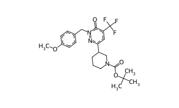 COc1ccc(Cn2nc(C3CCCN(C(=O)OC(C)(C)C)C3)cc(C(F)(F)F)c2=O)cc1